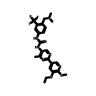 CCOc1cc(-c2ncc(NC(=O)Nc3ccc(CN(C)C)c(C(F)(F)F)c3)c(C)n2)cnc1OC